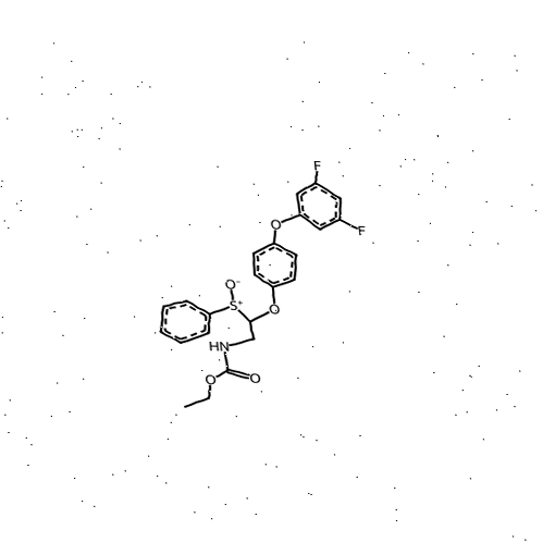 CCOC(=O)NCC(Oc1ccc(Oc2cc(F)cc(F)c2)cc1)[S+]([O-])c1ccccc1